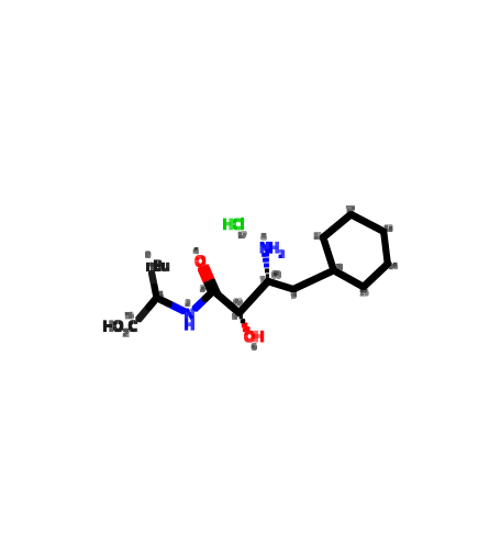 CCCCC(NC(=O)[C@@H](O)[C@H](N)CC1CCCCC1)C(=O)O.Cl